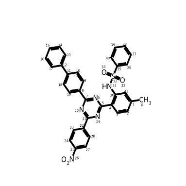 Cc1ccc(-c2nc(-c3ccc(-c4ccccc4)cc3)nc(-c3ccc([N+](=O)[O-])cc3)n2)c(NS(=O)(=O)c2ccccc2)c1